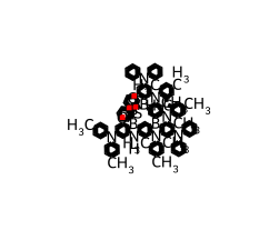 Cc1ccc(N(c2ccc(C)cc2)c2cc3c4c(c2)Oc2c(sc5ccccc25)B4c2cc4c(cc2N3)N(c2c(C)cc(C)cc2C)c2cc(N(c3ccccc3)c3ccccc3)cc3c2B4c2cc4c(cc2N3c2c(C)cc(C)cc2C)N(c2c(C)cc(C)cc2C)c2cc(N(c3ccccc3)c3ccccc3)cc3c2B4c2sc4ccccc4c2O3)cc1